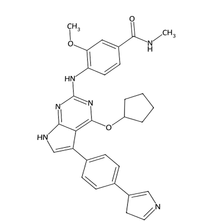 CNC(=O)c1ccc(Nc2nc(OC3CCCC3)c3c(-c4ccc(C5=CN=CC5)cc4)c[nH]c3n2)c(OC)c1